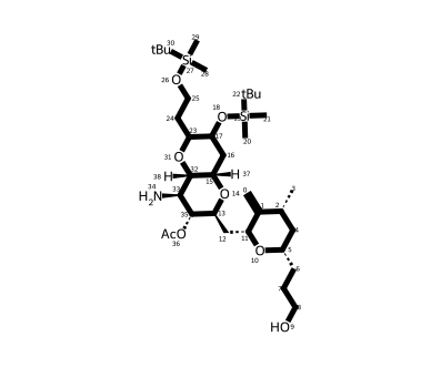 C=C1[C@H](C)C[C@H](CCCO)O[C@@H]1C[C@@H]1O[C@H]2CC(O[Si](C)(C)C(C)(C)C)C(CCO[Si](C)(C)C(C)(C)C)O[C@H]2[C@H](N)[C@H]1OC(C)=O